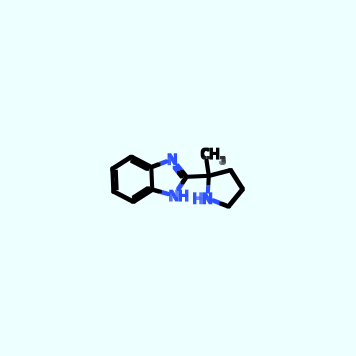 CC1(c2nc3ccccc3[nH]2)CCCN1